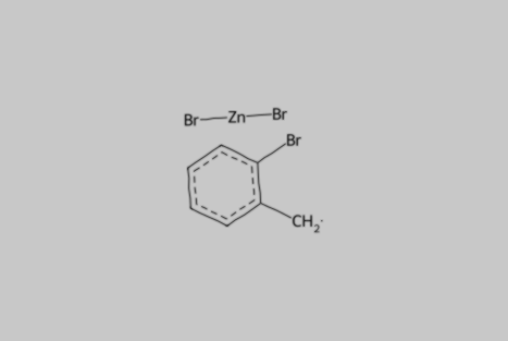 [Br][Zn][Br].[CH2]c1ccccc1Br